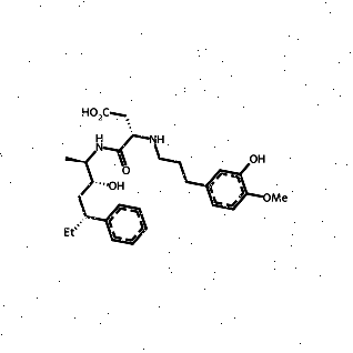 CC[C@H](C[C@@H](O)[C@@H](C)NC(=O)[C@H](CC(=O)O)NCCCc1ccc(OC)c(O)c1)c1ccccc1